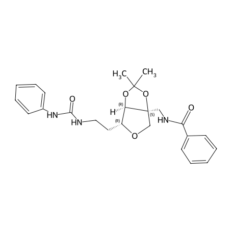 CC1(C)O[C@@H]2[C@@H](CCNC(=O)Nc3ccccc3)OC[C@]2(CNC(=O)c2ccccc2)O1